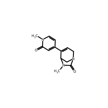 CN1C(=O)N2CC=C(c3ccn(C)c(=O)c3)C1C2